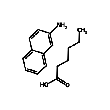 CCCCCC(=O)O.Nc1ccc2ccccc2c1